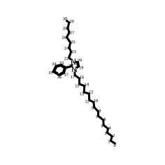 CCCCCCCCCCCCCCCCCCN1C=CN(CCCCCCCCC)C1c1ccccc1